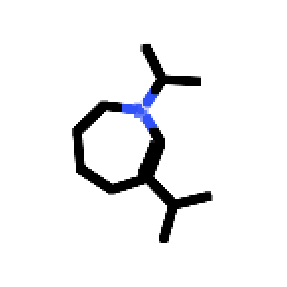 CC(C)C1=CN(C(C)C)CCCC1